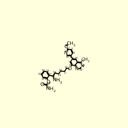 COc1ccc(-c2cc(OCCCCCC(N)c3ccccc3OC(N)=O)c3ncnc(C)c3c2)cn1